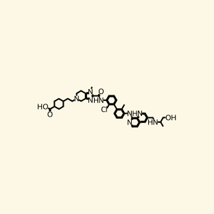 Cc1c(Nc2nccc3cc(CNC(C)CO)cnc23)cccc1-c1cccc(NC(=O)c2nc3c(n2C)CCN(CCC2CCC(C(=O)O)CC2)C3)c1Cl